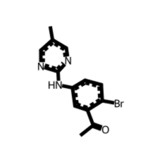 CC(=O)c1cc(Nc2ncc(C)cn2)ccc1Br